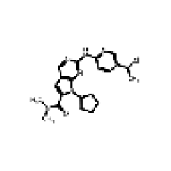 CC(Cl)c1ccc(Nc2ncc3cc(C(=O)N(C)C)n(C4CCCC4)c3n2)nc1